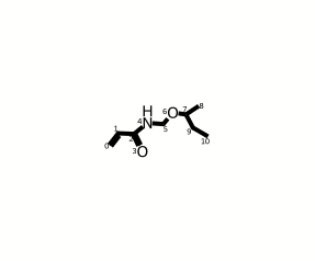 C=CC(=O)NCOC(C)CC